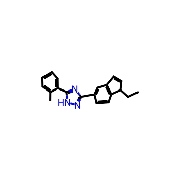 CCC1C=Cc2cc(-c3n[nH]c(-c4ccccc4C)n3)ccc21